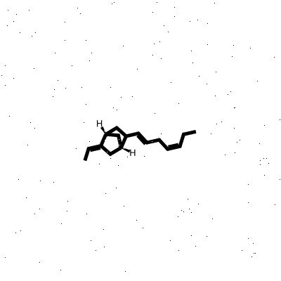 CC=C1C[C@@H]2C[C@H]1CC2C=CC/C=C\CC